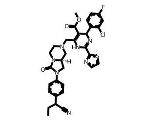 CCC(C#N)c1ccc(N2C[C@@H]3CN(CC4=C(C(=O)OC)C(c5ccc(F)cc5Cl)N=C(c5nccs5)N4)CCN3C2=O)cc1